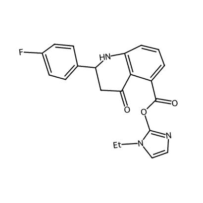 CCn1ccnc1OC(=O)c1cccc2c1C(=O)CC(c1ccc(F)cc1)N2